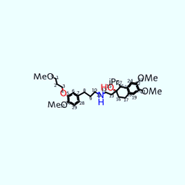 COCCCOc1cc(CCCNCCC2(O)CCc3cc(OC)c(OC)cc3C2C(C)C)ccc1OC